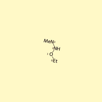 CCONNC